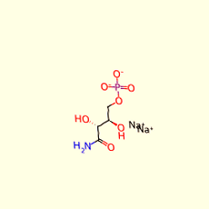 NC(=O)[C@H](O)[C@H](O)COP(=O)([O-])[O-].[Na+].[Na+]